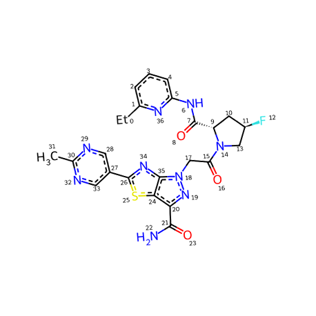 CCc1cccc(NC(=O)[C@@H]2C[C@@H](F)CN2C(=O)Cn2nc(C(N)=O)c3sc(-c4cnc(C)nc4)nc32)n1